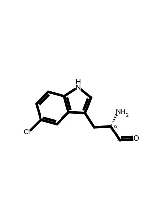 N[C@H]([C]=O)Cc1c[nH]c2ccc(Cl)cc12